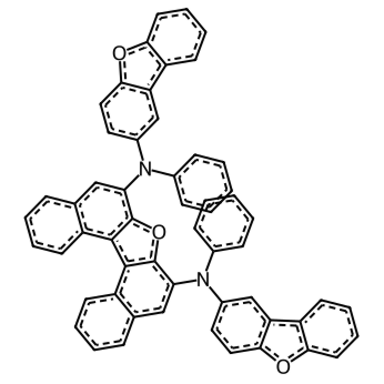 c1ccc(N(c2ccc3oc4ccccc4c3c2)c2cc3ccccc3c3c2oc2c(N(c4ccccc4)c4ccc5oc6ccccc6c5c4)cc4ccccc4c23)cc1